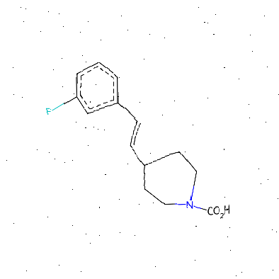 O=C(O)N1CCC(/C=C/c2cccc(F)c2)CC1